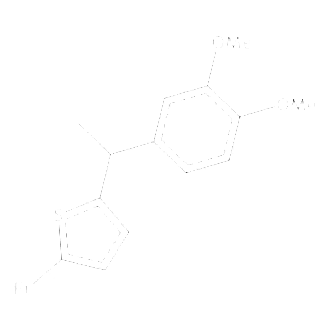 CCc1ccc(C(C)c2ccc(OC)c(OC)c2)s1